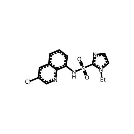 CCn1ccnc1S(=O)(=O)Nc1cccc2cc(Cl)cnc12